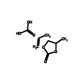 C=CC.CC1COC(=O)O1.O=C(O)O